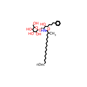 CCCCCCCCCCCCCCCCCCCCCCCCC(C)C(=O)N[C@@H](CO[C@H]1OC(CO)[C@H](O)C(O)C1O)[C@H](O)CCCCc1ccccc1